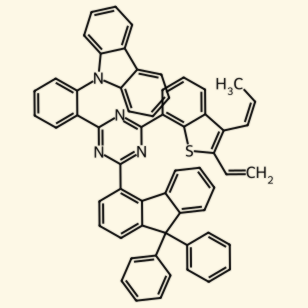 C=Cc1sc2c(-c3nc(-c4ccccc4-n4c5ccccc5c5ccccc54)nc(-c4cccc5c4-c4ccccc4C5(c4ccccc4)c4ccccc4)n3)cccc2c1/C=C\C